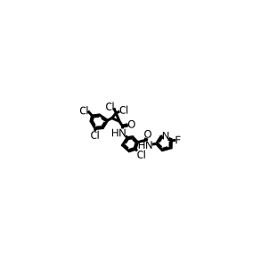 O=C(Nc1ccc(F)nc1)c1cc(NC(=O)C2C(c3cc(Cl)cc(Cl)c3)C2(Cl)Cl)ccc1Cl